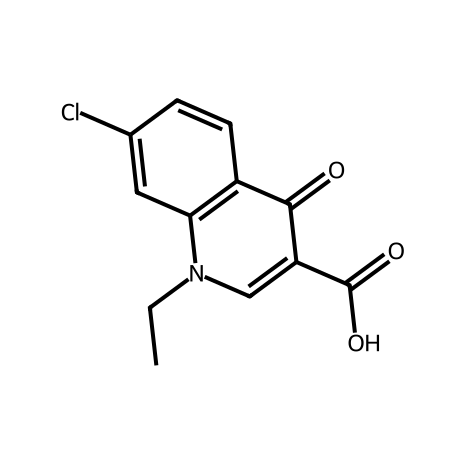 CCn1cc(C(=O)O)c(=O)c2ccc(Cl)cc21